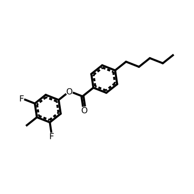 CCCCCc1ccc(C(=O)Oc2cc(F)c(C)c(F)c2)cc1